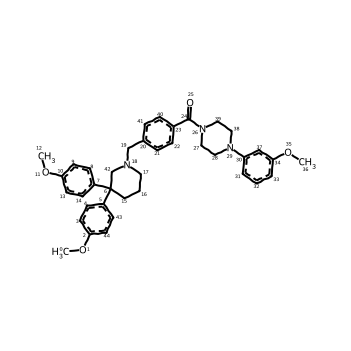 COc1ccc(C2(c3ccc(OC)cc3)CCCN(Cc3ccc(C(=O)N4CCN(c5cccc(OC)c5)CC4)cc3)C2)cc1